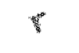 CC1(NCCCC[C@H](NC(=O)c2ccc(C(F)(F)F)cc2)C(=O)N2CCN(S(C)(=O)=O)CC2)C[C@H]1c1ccc(F)cc1